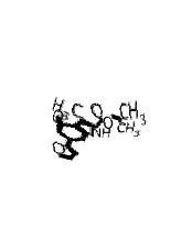 Cc1c(C(=O)OCC(C)C)[nH]c2c1C(=O)CC(c1ccco1)C2